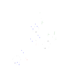 COc1nccc(C)c1N1CCC(N2Cc3nn(CC(C)(F)F)cc3N(Cc3ccccc3C(F)(F)F)C2=O)CC1